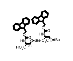 CC(C)(C)OC[C@H](NC(=O)OCC1c2ccccc2-c2ccccc21)C(=O)O.C[C@@H](OC(C)(C)C)[C@H](NC(=O)OCC1c2ccccc2-c2ccccc21)C(=O)O